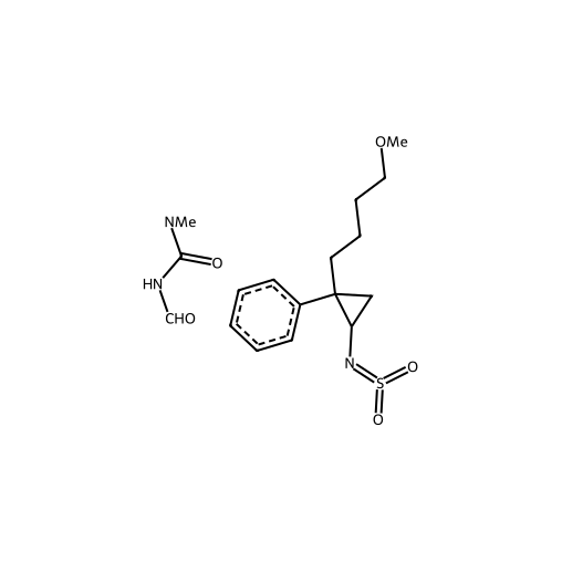 CNC(=O)NC=O.COCCCCC1(c2ccccc2)CC1N=S(=O)=O